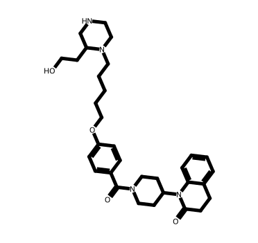 O=C(c1ccc(OCCCCCN2CCNCC2CCO)cc1)N1CCC(N2C(=O)CCc3ccccc32)CC1